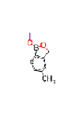 Cc1ccc2c(c1)COB2OI